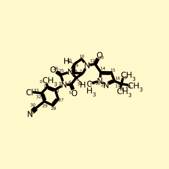 Cc1c(N2C(=O)[C@@H]3C4C[C@H](CN4C(=O)c4cc(C(C)(C)C)nn4C)N3C2=O)ccc(C#N)c1Cl